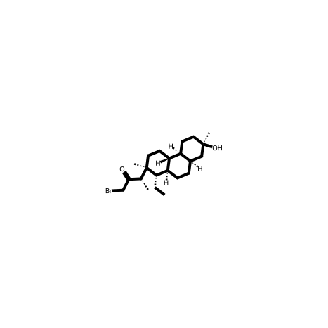 CC[C@H]1[C@@H]2CC[C@@H]3C[C@](C)(O)CC[C@@H]3[C@H]2CC[C@]1(C)[C@H](C)C(=O)CBr